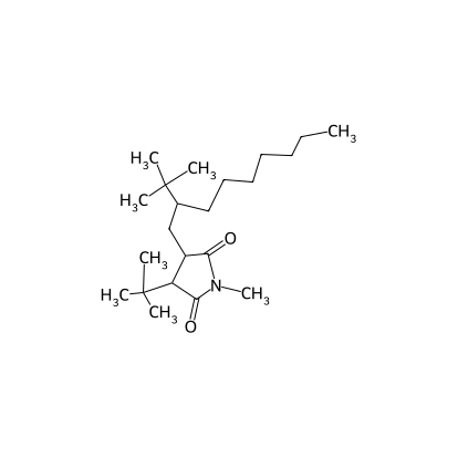 CCCCCCCC(CC1C(=O)N(C)C(=O)C1C(C)(C)C)C(C)(C)C